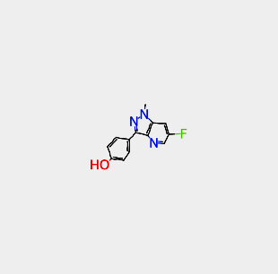 Cn1nc(-c2ccc(O)cc2)c2ncc(F)cc21